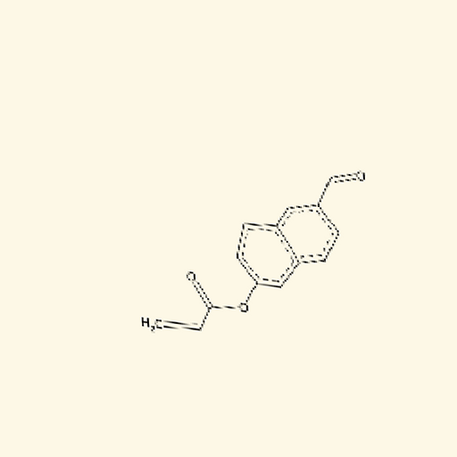 C=CC(=O)Oc1ccc2cc(C=O)ccc2c1